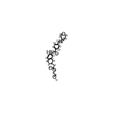 COCCOC(=O)CC1CCc2ccc(NC(=O)c3ccc(/C=N/N4CCOCC4)cc3)cc2C1